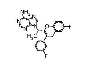 CC(C1=C(c2cccc(F)c2)Cc2cc(F)ccc2O1)n1cnc2c(N)ncnc21